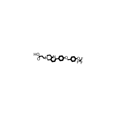 O=C(O)CCN1CCc2nc(-c3ccc(OCc4ccc(OC(F)(F)F)cc4)cc3)ccc2C1